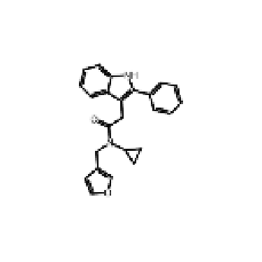 O=C(Cc1c(-c2ccccc2)[nH]c2ccccc12)N(Cc1ccoc1)C1CC1